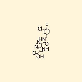 O=C(O)c1c[nH]c2c(C(=O)NCc3ccc(F)c(Cl)c3)ncnc12